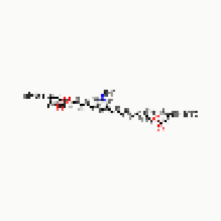 CCCCCC(CCCCC)CC(=O)OCCCCCCCCCC(CCCCCCCOC(=O)CC(CCCCC)CCCCC)CN(C)C(C)C